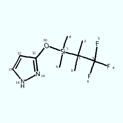 CC(C)(C(F)(F)F)[Si](C)(C)Oc1cc[nH]n1